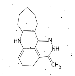 C=C1NN=C2C3=C(CCCCC3)NC3=CCCC1=C32